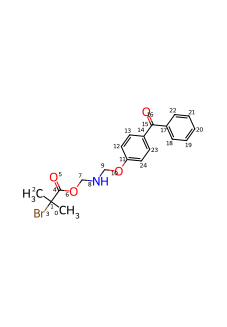 CC(C)(Br)C(=O)OCNCOc1ccc(C(=O)c2ccccc2)cc1